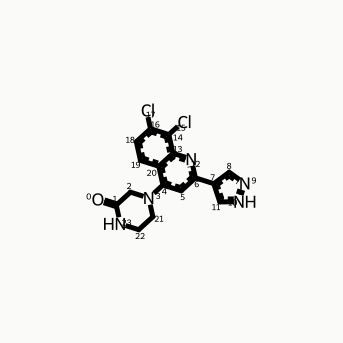 O=C1CN(c2cc(-c3cn[nH]c3)nc3c(Cl)c(Cl)ccc23)CCN1